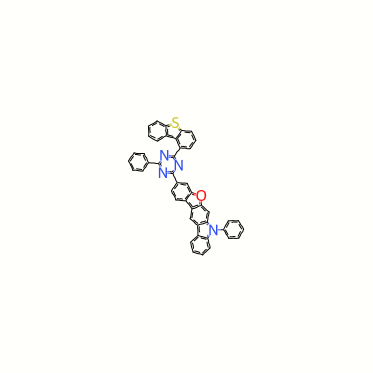 c1ccc(-c2nc(-c3ccc4c(c3)oc3cc5c(cc34)c3ccccc3n5-c3ccccc3)nc(-c3cccc4sc5ccccc5c34)n2)cc1